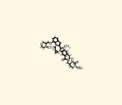 Cn1c(-c2cc3cccc(OCC4COCCN4C(=O)O)c3n2CC2CC2)nc2cc3c(cc21)CCN(CC(CF)NC(=O)OC(C)(C)C)C3=O